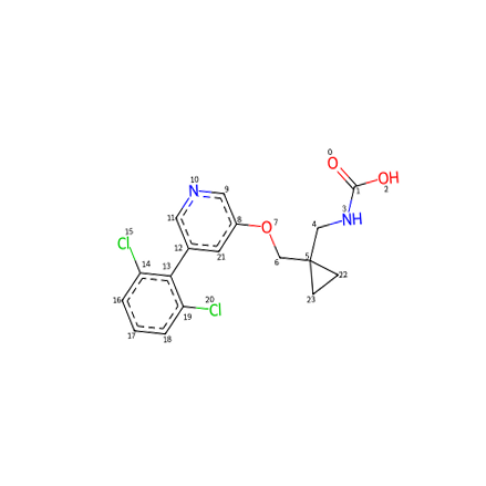 O=C(O)NCC1(COc2cncc(-c3c(Cl)cccc3Cl)c2)CC1